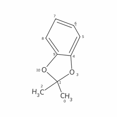 CC1(C)Oc2c[c]ccc2O1